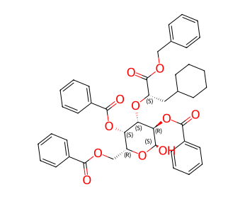 O=C(OC[C@H]1O[C@H](O)[C@H](OC(=O)c2ccccc2)[C@@H](O[C@@H](CC2CCCCC2)C(=O)OCc2ccccc2)[C@H]1OC(=O)c1ccccc1)c1ccccc1